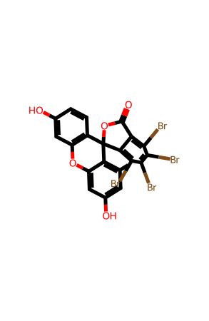 Cc1cc(O)cc2c1C1(OC(=O)c3c(Br)c(Br)c(Br)c(Br)c31)c1ccc(O)cc1O2